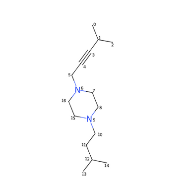 CC(C)C#CCN1CCN(CCC(C)C)CC1